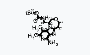 Cc1nc(N)c2nc3n(c2c1C)[C@@H](CNC(=O)OC(C)(C)C)COCC3